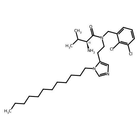 CCCCCCCCCCCCn1cncc1CCN(Cc1cccc(Cl)c1Cl)C(=O)[C@@H](N)C(C)C